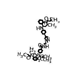 CCC(=O)N1c2ccccc2[C@H](N(C(=O)OC(C)(C)C)c2ccc(C(=O)NCCn3cc(-c4ccc(N[C@@H]5C[C@H](C)N(C(=O)CC)c6ccccc65)cc4)cn3)cc2)C[C@@H]1C